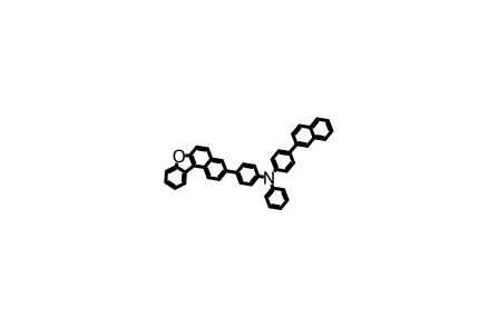 c1ccc(N(c2ccc(-c3ccc4ccccc4c3)cc2)c2ccc(-c3ccc4c(ccc5oc6ccccc6c54)c3)cc2)cc1